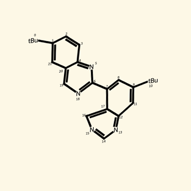 CC(C)(C)c1ccc2nc(-c3cc(C(C)(C)C)cc4ncncc34)ncc2c1